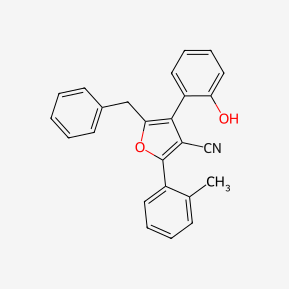 Cc1ccccc1-c1oc(Cc2ccccc2)c(-c2ccccc2O)c1C#N